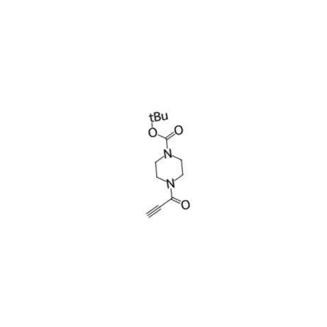 C#CC(=O)N1CCN(C(=O)OC(C)(C)C)CC1